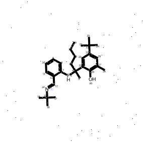 CCCCC(C)(Pc1ccccc1/C=N/C(C)(C)C)c1cc(C(C)(C)C)cc(C)c1O